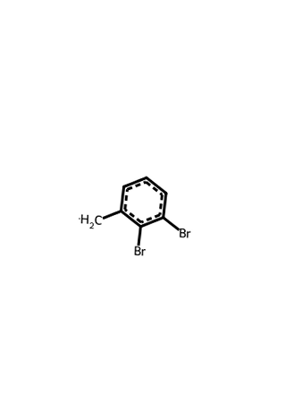 [CH2]c1cccc(Br)c1Br